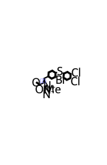 COC(=O)/C(=C/c1ccc(Sc2ccc(Cl)c(Cl)c2)c(Br)c1)N=[N+]=[N-]